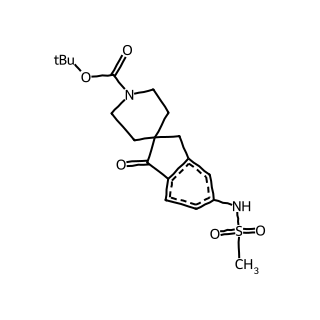 CC(C)(C)OC(=O)N1CCC2(CC1)Cc1cc(NS(C)(=O)=O)ccc1C2=O